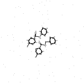 Cc1ccc(C(=O)OCc2ccccc2)cc1.Cc1ccc(C(=O)Oc2ccccc2)cc1